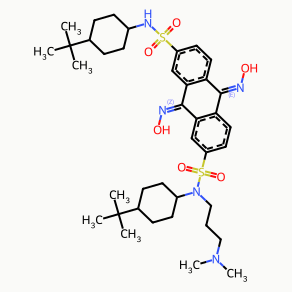 CN(C)CCCN(C1CCC(C(C)(C)C)CC1)S(=O)(=O)c1ccc2c(c1)/C(=N\O)c1cc(S(=O)(=O)NC3CCC(C(C)(C)C)CC3)ccc1/C2=N\O